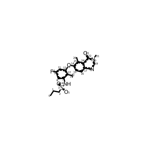 CCCS(=O)(=O)Nc1cc(F)cc(Oc2ccc3ncn(C)c(=O)c3c2C)c1F